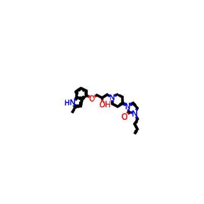 CCCCN1CCN(C2CCN(CC(O)COc3cccc4[nH]c(C)cc34)CC2)C1=O